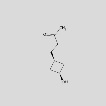 CC(=O)CC[C@H]1C[C@@H](O)C1